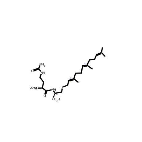 CC(=O)NC(CCNC(N)=O)C(=O)N[C@@H](CSC/C=C(\C)CC/C=C(\C)CCC=C(C)C)C(=O)O